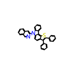 c1ccc(-c2sc3c(ccc4c3c3ccccc3n4-c3cc4ccccc4cn3)c2-c2ccccc2)cc1